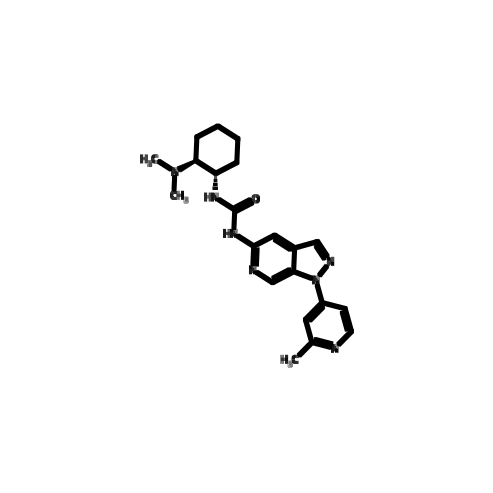 Cc1cc(-n2ncc3cc(NC(=O)N[C@H]4CCCC[C@@H]4N(C)C)ncc32)ccn1